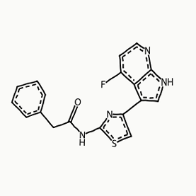 O=C(Cc1ccccc1)Nc1nc(-c2c[nH]c3nccc(F)c23)cs1